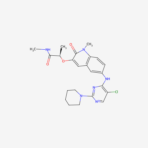 CNC(=O)[C@@H](C)Oc1cc2cc(Nc3nc(N4CCCCC4)ncc3Cl)ccc2n(C)c1=O